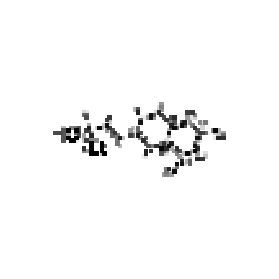 CCC(C)(O)/C=C/c1ccc2cc(C)cc(C)c2c1